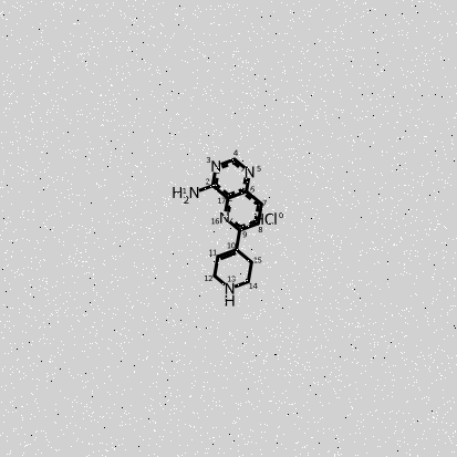 Cl.Nc1ncnc2ccc(C3=CCNCC3)nc12